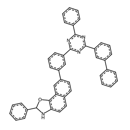 c1ccc(-c2cccc(-c3nc(-c4ccccc4)nc(-c4cccc(-c5ccc6ccc7c(c6c5)OC(c5ccccc5)N7)c4)n3)c2)cc1